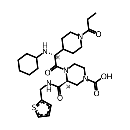 CCC(=O)N1CCC([C@@H](NC2CCCCC2)C(=O)N2CCN(C(=O)O)C[C@H]2C(=O)NCc2cccs2)CC1